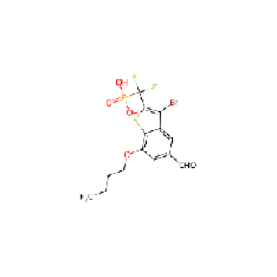 O=Cc1cc(OCCCC(F)(F)F)c2sc(C(F)(F)P(=O)(O)O)c(Br)c2c1